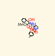 COC(=O)C(NC(=O)[C@@H]1CCCN1S(=O)(=O)c1ccc(C)cc1)C(O)c1ccccc1